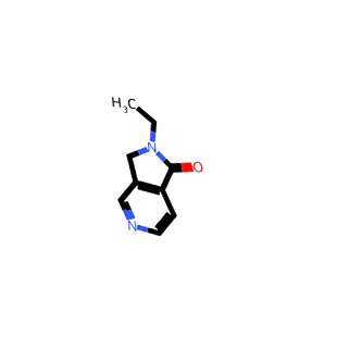 CCN1Cc2cnccc2C1=O